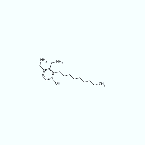 CCCCCCCCCc1c(O)ccc(CN)c1CN